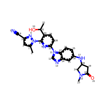 Cc1cc(C#N)nn1-c1nc(-n2cnc3cc(NC4CC(=O)N(C)C4)ccc32)ccc1C(C)O